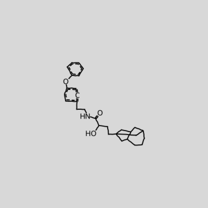 O=C(NCCc1ccc(Oc2ccccc2)cc1)C(O)CCC12CC3CCCC(C1)C(C3)C2